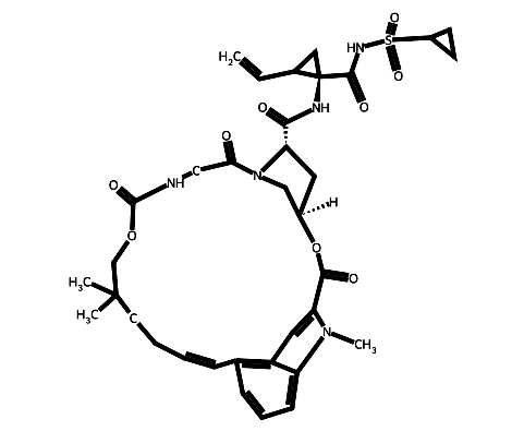 C=CC1C[C@]1(NC(=O)[C@@H]1C[C@@H]2CN1C(=O)CNC(=O)OCC(C)(C)CC/C=C/c1cccc3c1cc(n3C)C(=O)O2)C(=O)NS(=O)(=O)C1CC1